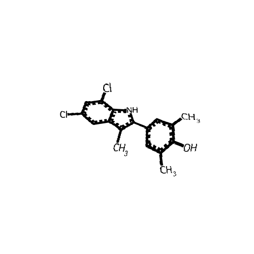 Cc1cc(-c2[nH]c3c(Cl)cc(Cl)cc3c2C)cc(C)c1O